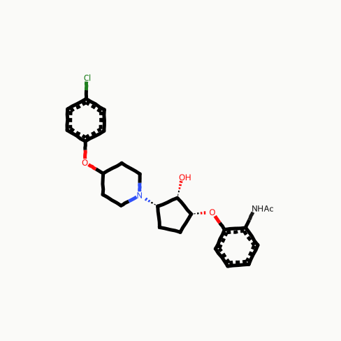 CC(=O)Nc1ccccc1O[C@@H]1CC[C@H](N2CCC(Oc3ccc(Cl)cc3)CC2)[C@@H]1O